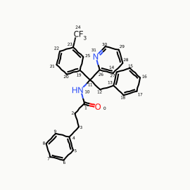 O=C(CCc1ccccc1)NC(Cc1ccccc1)(c1cccc(C(F)(F)F)c1)c1ccccn1